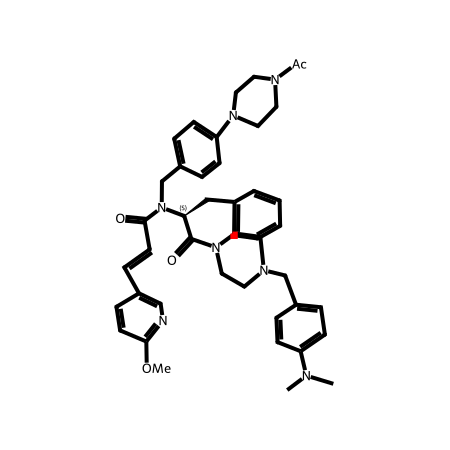 COc1ccc(C=CC(=O)N(Cc2ccc(N3CCN(C(C)=O)CC3)cc2)[C@@H](Cc2ccccc2)C(=O)N2CCN(Cc3ccc(N(C)C)cc3)CC2)cn1